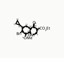 CCOC(=O)c1c[nH]c2c(OC)c(Br)c(C3CC3)cc2c1=O